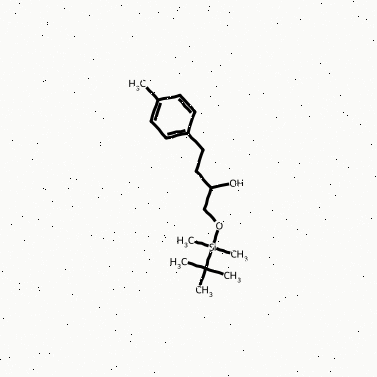 Cc1ccc(CCC(O)CO[Si](C)(C)C(C)(C)C)cc1